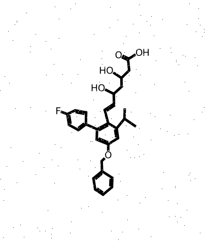 CC(C)c1cc(OCc2ccccc2)cc(-c2ccc(F)cc2)c1C=CC(O)CC(O)CC(=O)O